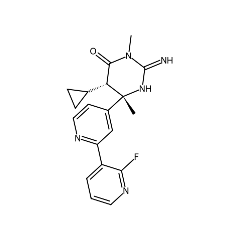 CN1C(=N)N[C@](C)(c2ccnc(-c3cccnc3F)c2)[C@H](C2CC2)C1=O